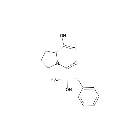 CC(O)(Cc1ccccc1)C(=O)N1CCCC1C(=O)O